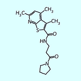 Cc1cc(C)c2c(C)c(C(=O)NCCC(=O)N3CCCC3)sc2n1